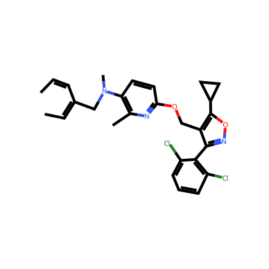 C/C=C\C(=C/C)CN(C)c1ccc(OCc2c(-c3c(Cl)cccc3Cl)noc2C2CC2)nc1C